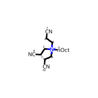 CCCCCCCC[N+](CCC#N)(CCC#N)CCC#N